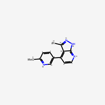 COc1ccc(-c2ccnc3[nH]nc(C(C)C)c23)cn1